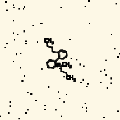 C=C(CCC)[n+]1ccccc1C1=C(CCCC)C=CCC1